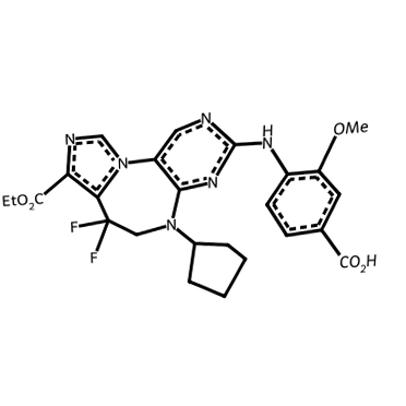 CCOC(=O)c1ncn2c1C(F)(F)CN(C1CCCC1)c1nc(Nc3ccc(C(=O)O)cc3OC)ncc1-2